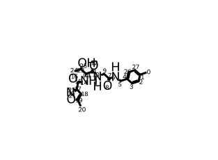 Cc1ccc(CNC(=O)CNC(=O)[C@@H](NC(=O)c2cc(C)on2)C(C)O)cc1